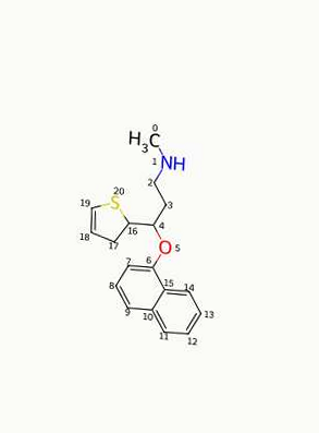 CNCCC(Oc1cccc2ccccc12)C1CC=CS1